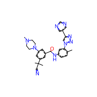 Cc1ccc(NC(=O)c2cc(N3CCN(C)CC3)cc(C(C)(C)C#N)c2)cc1-n1cc(-c2cncnc2)nn1